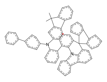 CC1(C)c2ccccc2-c2ccc(N(c3ccc(-c4ccccc4)cc3)c3ccccc3-c3cccc4c3-n3c5ccccc5c5cccc(c53)C43c4ccccc4-c4ccccc43)cc21